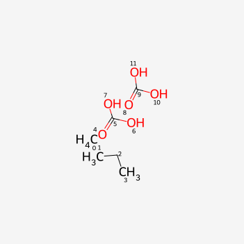 C.CCC.O=C(O)O.O=C(O)O